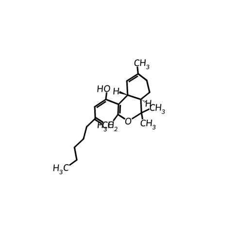 C=C(/C=C(/O)C1=C(C)OC(C)(C)[C@@H]2CCC(C)=C[C@@H]12)CCCCC